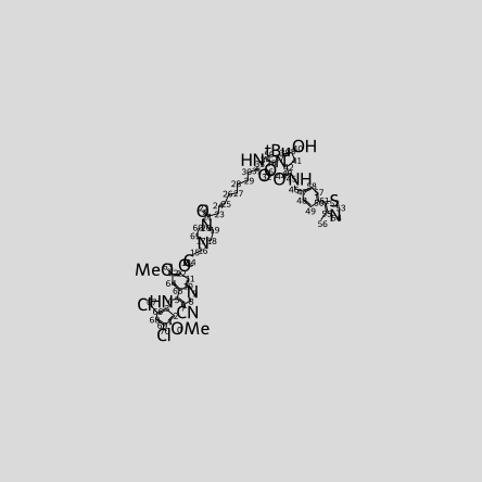 COc1cc(Nc2c(C#N)cnc3cc(OCCCN4CCN(C(=O)CCCCCCCCC(=O)NC(C(=O)N5CC(O)CC5C(=O)NCc5ccc(-c6scnc6C)cc5)C(C)(C)C)CC4)c(OC)cc23)c(Cl)cc1Cl